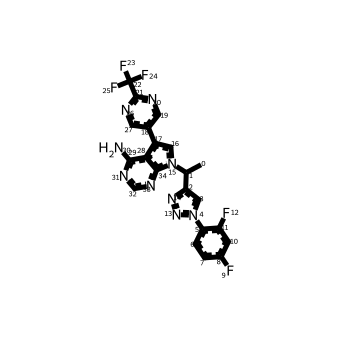 CC(c1cn(-c2ccc(F)cc2F)nn1)n1cc(-c2cnc(C(F)(F)F)nc2)c2c(N)ncnc21